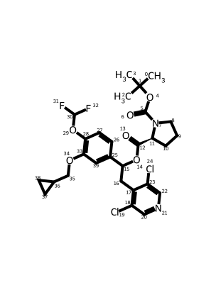 CC(C)(C)OC(=O)N1CCC[C@H]1C(=O)OC(Cc1c(Cl)cncc1Cl)c1ccc(OC(F)F)c(OCC2CC2)c1